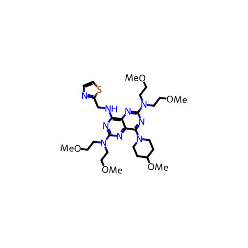 COCCN(CCOC)c1nc(N2CCC(OC)CC2)c2nc(N(CCOC)CCOC)nc(NCc3nccs3)c2n1